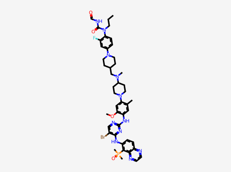 CCCN(C(=O)NC=O)c1ccc(N2CCC(CN(C)C3CCN(c4cc(OC)c(Nc5ncc(Br)c(Nc6ccc7nccnc7c6P(C)(C)=O)n5)cc4C)CC3)CC2)cc1F